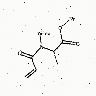 C=CC(=O)N(CCCCCC)C(C)C(=O)OC(C)C